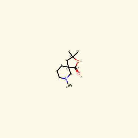 CC(C)N1CCCC2(C1)CC(C)(C)OC2=O